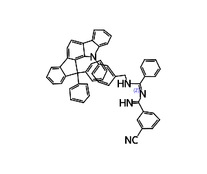 N#Cc1cccc(C(=N)/N=C(\NCc2cccc(-n3c4ccccc4c4ccc5c(c43)C(c3ccccc3)(c3ccccc3)c3ccccc3-5)c2)c2ccccc2)c1